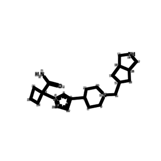 NC(=O)C1(n2cc(C3CCN(CC4CC5CNCC5C4)CC3)cn2)CCC1